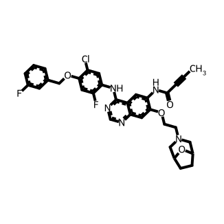 CC#CC(=O)Nc1cc2c(Nc3cc(Cl)c(OCc4cccc(F)c4)cc3F)ncnc2cc1OCCN1CC2CCC(C1)O2